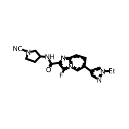 CCn1cc(-c2ccc3nc(C(=O)NC4CCN(C#N)C4)c(F)n3c2)cn1